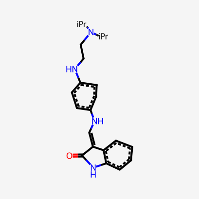 CC(C)N(CCNc1ccc(N/C=C2/C(=O)Nc3ccccc32)cc1)C(C)C